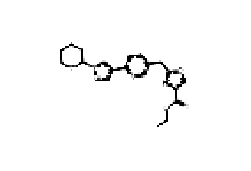 CCOC(=O)c1coc(Cc2ccc(-c3cnn(C4CCCCO4)c3)nc2)n1